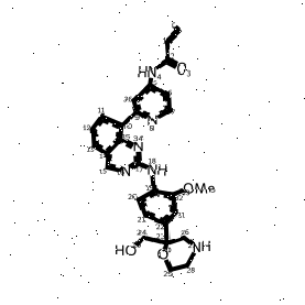 C=CC(=O)Nc1ccnc(-c2cccc3cnc(Nc4ccc(C5(CO)CNCCO5)cc4OC)nc23)c1